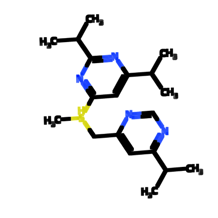 CC(C)c1cc(C[SH](C)c2cc(C(C)C)nc(C(C)C)n2)ncn1